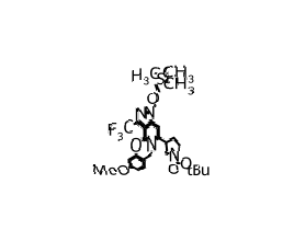 COc1ccc(Cn2c(C3CCN(C(=O)OC(C)(C)C)C3)cc3c(c(C(F)(F)F)nn3COCC[Si](C)(C)C)c2=O)cc1